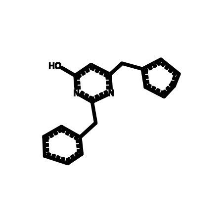 Oc1cc(Cc2ccccc2)nc(Cc2ccccc2)n1